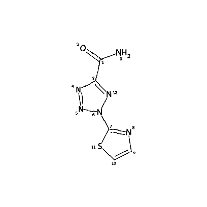 NC(=O)c1nnn(-c2nccs2)n1